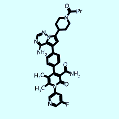 Cc1c(-c2ccc(-c3cc(C4CCN(C(=O)C(C)C)CC4)n4ncnc(N)c34)cc2)c(C(N)=O)c(=O)n(-c2cncc(F)c2)c1C